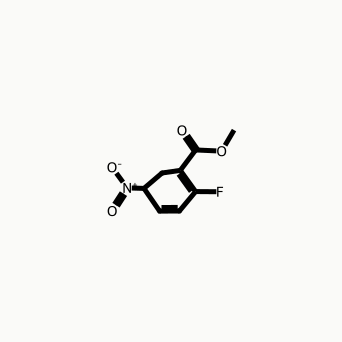 COC(=O)C1=C(F)C=CC([N+](=O)[O-])C1